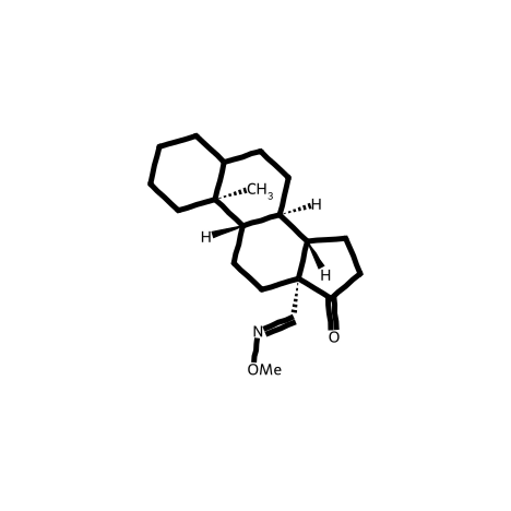 CON=C[C@]12CC[C@H]3[C@@H](CCC4CCCC[C@@]43C)[C@@H]1CCC2=O